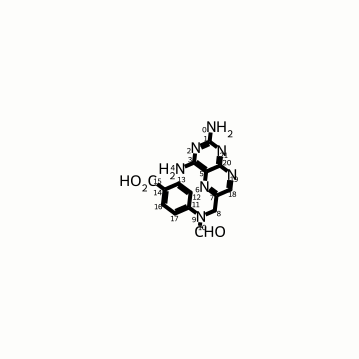 Nc1nc(N)c2nc(CN(C=O)c3ccc(C(=O)O)cc3)cnc2n1